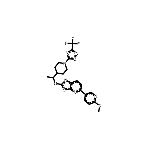 CSc1ccc(-c2ccc3nc(OC(C)C4CCN(c5nc(C(F)(F)F)no5)CC4)sc3n2)cn1